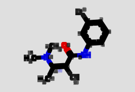 CCc1cccc(NC(=O)/C(C#N)=C(/C)N(C)C)c1